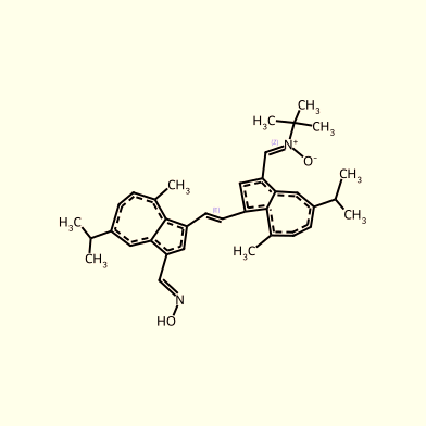 Cc1ccc(C(C)C)cc2c(C=NO)cc(/C=C/c3cc(/C=[N+](\[O-])C(C)(C)C)c4cc(C(C)C)ccc(C)c3-4)c1-2